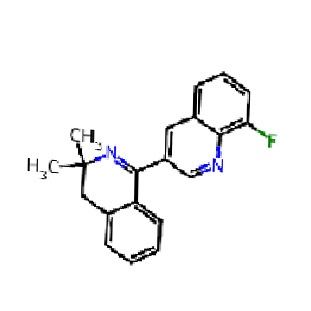 CC1(C)Cc2ccccc2C(c2cnc3c(F)cccc3c2)=N1